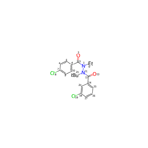 CCN(C(=O)c1ccc(Cl)cc1)N(C(=O)c1cccc(Cl)c1)C(C)(C)C